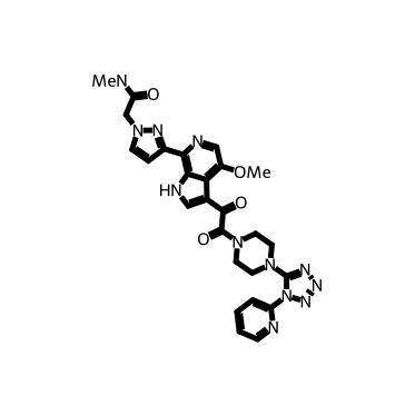 CNC(=O)Cn1ccc(-c2ncc(OC)c3c(C(=O)C(=O)N4CCN(c5nnnn5-c5ccccn5)CC4)c[nH]c23)n1